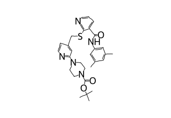 Cc1cc(C)cc(NC(=O)c2cccnc2SCc2ccnc(N3CCN(C(=O)OC(C)(C)C)CC3)c2)c1